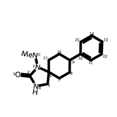 CNN1C(=O)NCC12CCC(c1ccccc1)CC2